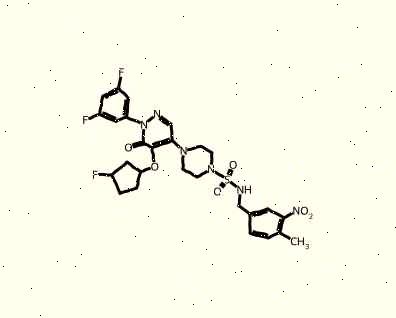 Cc1ccc(CNS(=O)(=O)N2CCN(c3cnn(-c4cc(F)cc(F)c4)c(=O)c3OC3CCC(F)C3)CC2)cc1[N+](=O)[O-]